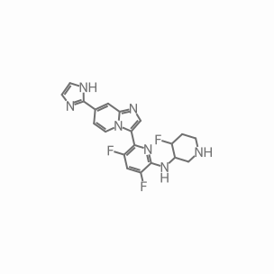 Fc1cc(F)c(-c2cnc3cc(-c4ncc[nH]4)ccn23)nc1NC1CNCCC1F